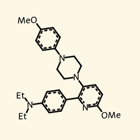 CCN(CC)c1ccc(-c2nc(OC)ccc2N2CCN(c3ccc(OC)cc3)CC2)cc1